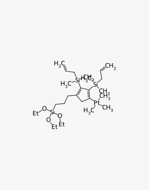 C=CC[Si](C)(C)C1=C(CCC[Si](OCC)(OCC)OCC)C[C]([Pt]([CH3])([CH3])[CH3])=C1[Si](C)(C)CC=C